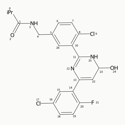 CC(C)C(=O)NCc1ccc(Cl)c(C2=NC(c3cc(Cl)ccc3F)=CC(O)N2)c1